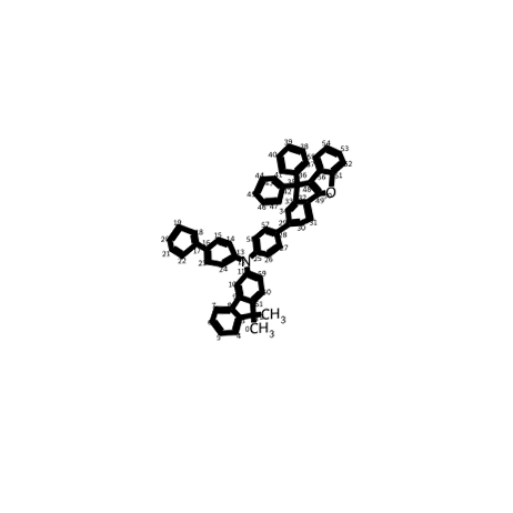 CC1(C)c2ccccc2-c2cc(N(c3ccc(-c4ccccc4)cc3)c3ccc(-c4ccc5c(c4)C(c4ccccc4)(c4ccccc4)c4c-5oc5ccccc45)cc3)ccc21